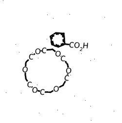 C1COCCOCCOCCOCCOCCO1.O=C(O)c1ccccc1